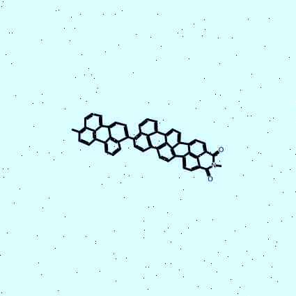 Cc1ccc2c3cccc4c(-c5ccc6c7ccc8c9ccc%10c%11c(ccc(c%12ccc(c%13cccc5c%136)c7c%128)c%119)C(=O)N(C)C%10=O)ccc(c5cccc1c25)c43